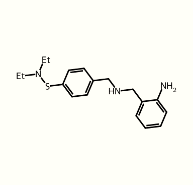 CCN(CC)Sc1ccc(CNCc2ccccc2N)cc1